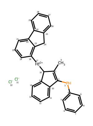 CC1=C(Pc2ccccc2)c2ccccc2[CH]1[Hf+2][c]1cccc2c1Cc1ccccc1-2.[Cl-].[Cl-]